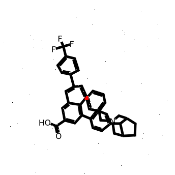 O=C(O)c1cc(-c2ccc(C3C4CCC3CN(Cc3ccccc3)C4)cc2)c2ccc(-c3ccc(C(F)(F)F)cc3)cc2c1